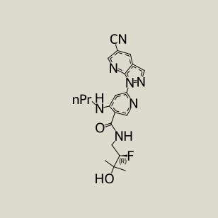 CCCNc1cc(-n2ncc3cc(C#N)cnc32)ncc1C(=O)NC[C@@H](F)C(C)(C)O